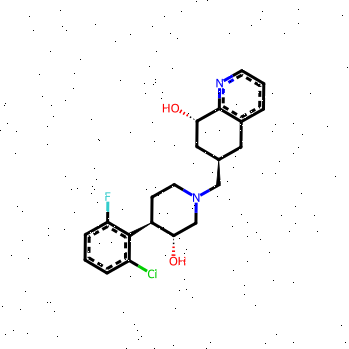 O[C@H]1C[C@H](CN2CC[C@H](c3c(F)cccc3Cl)[C@@H](O)C2)Cc2cccnc21